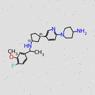 COc1cc(C(C)N[C@H]2CC[C@@H](c3ccc(N4CCC(N)CC4)nc3)C2)ccc1F